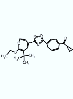 CCOC1=C(C(C)(C)C)C=C(c2noc(C3=CC=C(C(=O)C4CC4)C=CC3)n2)C=CC1